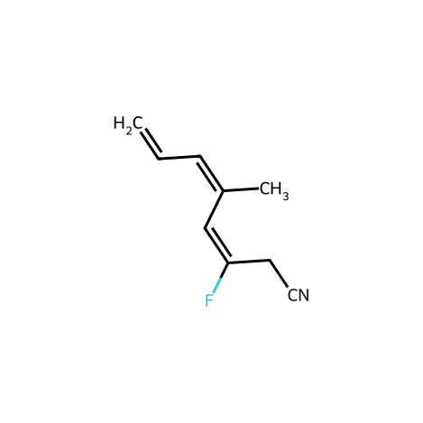 C=C/C=C(C)\C=C(\F)CC#N